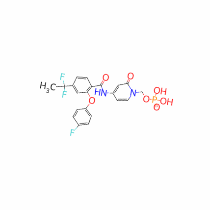 CC(F)(F)c1ccc(C(=O)Nc2ccn(COP(=O)(O)O)c(=O)c2)c(Oc2ccc(F)cc2)c1